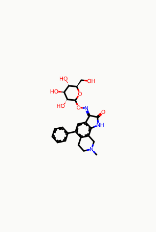 CN1CCc2c(-c3ccccc3)cc3c(c2C1)NC(=O)/C3=N/OC1O[C@H](CO)[C@@H](O)[C@H](O)[C@H]1O